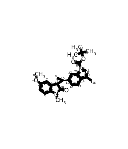 COc1ccc2c(c1)[C@]1(C[C@H]1c1ccc3c(I)nn(C(=O)OC(C)(C)C)c3c1)C(=O)N2C